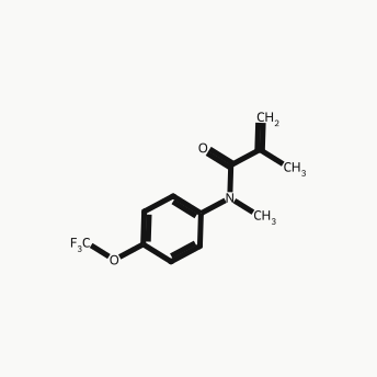 C=C(C)C(=O)N(C)c1ccc(OC(F)(F)F)cc1